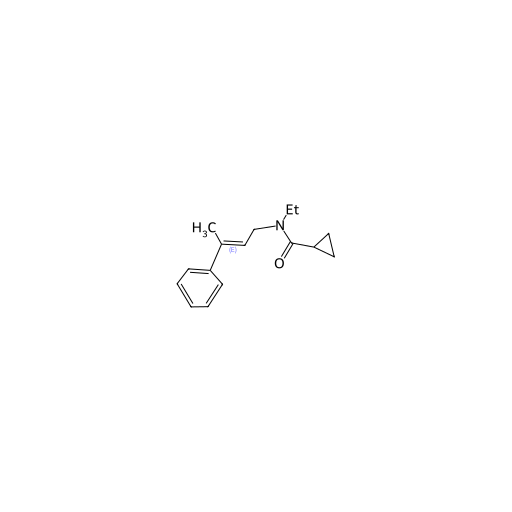 CCN(C/C=C(\C)c1ccccc1)C(=O)C1CC1